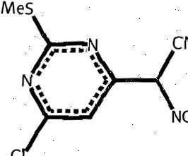 [C-]#[N+]C(C#N)c1cc(Cl)nc(SC)n1